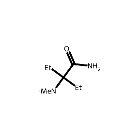 CCC(CC)([N]C)C(N)=O